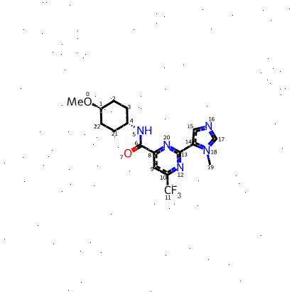 CO[C@H]1CC[C@H](NC(=O)c2cc(C(F)(F)F)nc(-c3cncn3C)n2)CC1